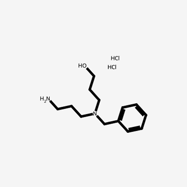 Cl.Cl.NCCCN(CCCO)Cc1ccccc1